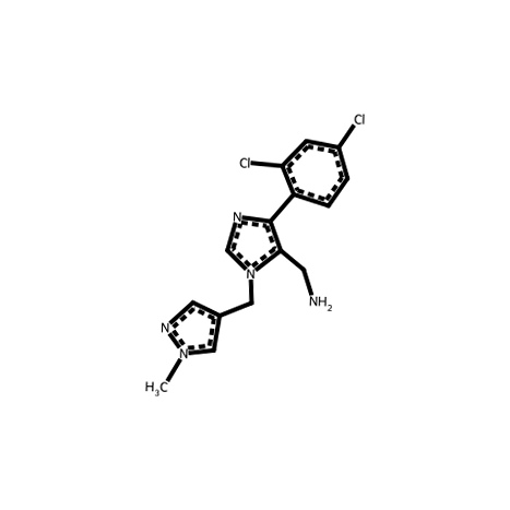 Cn1cc(Cn2cnc(-c3ccc(Cl)cc3Cl)c2CN)cn1